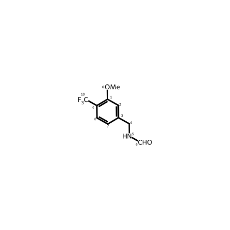 COc1cc(CNC=O)ccc1C(F)(F)F